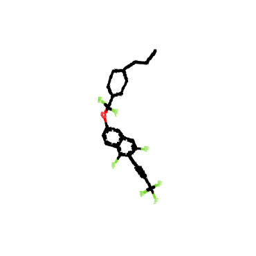 CCCC1CCC(C(F)(F)Oc2ccc3c(F)c(C#CC(F)(F)F)c(F)cc3c2)CC1